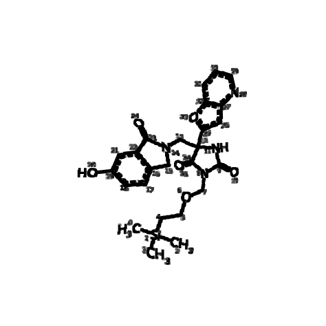 C[Si](C)(C)CCOCN1C(=O)NC(CN2Cc3ccc(O)cc3C2=O)(c2cc3ncccc3o2)C1=O